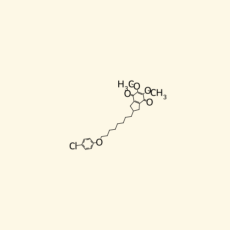 COC1=C(OC)C(=O)C2=C(CC(CCCCCCCCOc3ccc(Cl)cc3)C2)C1=O